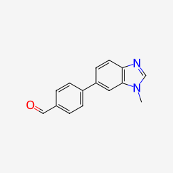 Cn1cnc2ccc(-c3ccc(C=O)cc3)cc21